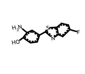 Nc1cc(-c2nc3cc(F)ccc3s2)ccc1O